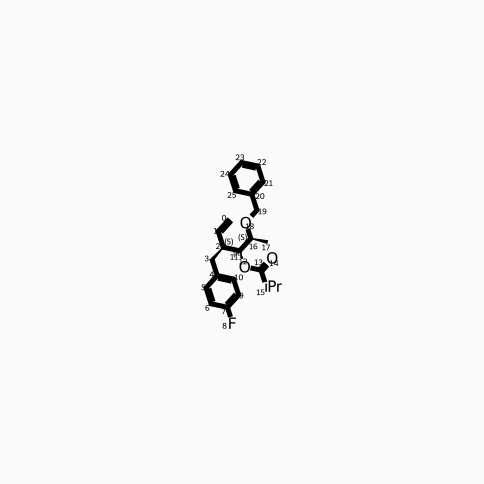 C=C[C@H](Cc1ccc(F)cc1)[C@@H](OC(=O)C(C)C)[C@H](C)OCc1ccccc1